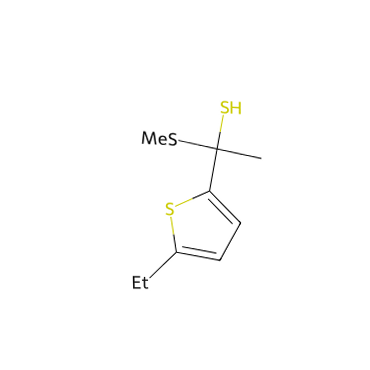 CCc1ccc(C(C)(S)SC)s1